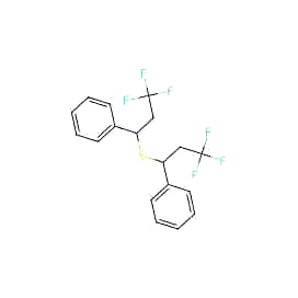 FC(F)(F)CC(SC(CC(F)(F)F)c1ccccc1)c1ccccc1